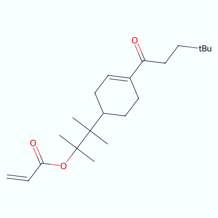 C=CC(=O)OC(C)(C)C(C)(C)C1CC=C(C(=O)CCC(C)(C)C)CC1